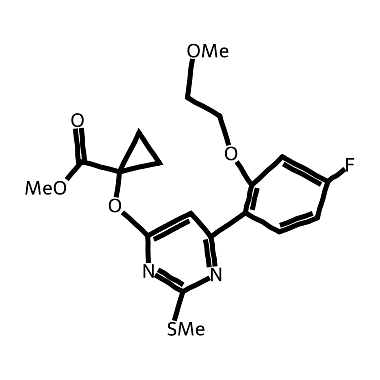 COCCOc1cc(F)ccc1-c1cc(OC2(C(=O)OC)CC2)nc(SC)n1